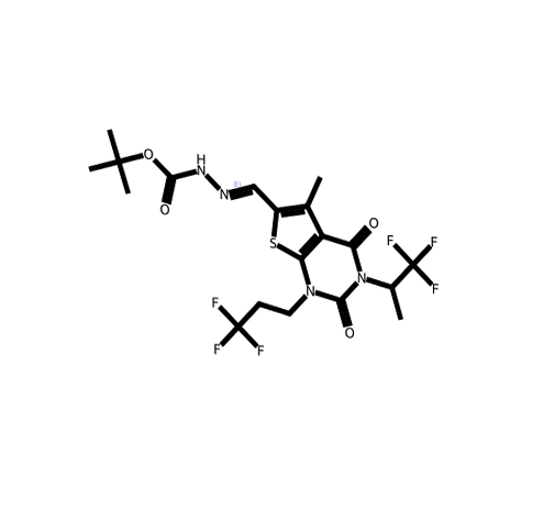 Cc1c(/C=N/NC(=O)OC(C)(C)C)sc2c1c(=O)n(C(C)C(F)(F)F)c(=O)n2CCC(F)(F)F